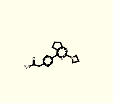 NC(=O)Cc1ccc(-c2nc(N3CCC3)nc3c2CCC3)cc1